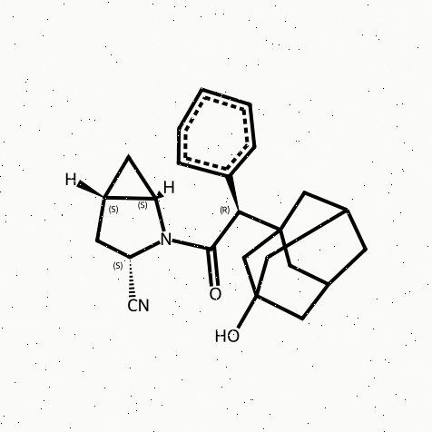 N#C[C@@H]1C[C@@H]2C[C@@H]2N1C(=O)[C@@H](c1ccccc1)C12CC3CC(CC(O)(C3)C1)C2